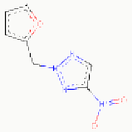 O=[N+]([O-])c1cnn(Cc2cc[c]o2)n1